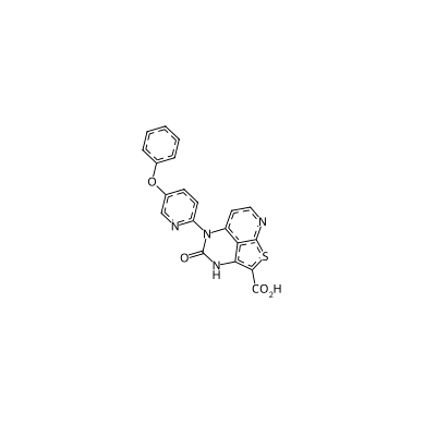 O=C(O)c1sc2nccc3c2c1NC(=O)N3c1ccc(Oc2ccccc2)cn1